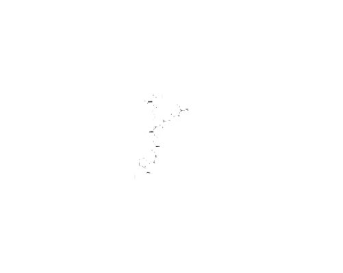 C[C@H](NC(=O)CNC(=O)[C@H](CCCNC(=N)N)NC(=O)CNC(=O)[C@@H](N)[C@@H](C)O)C(=O)N1CCC[C@H]1C(=O)O